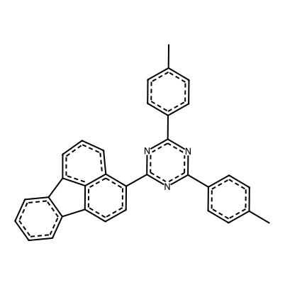 Cc1ccc(-c2nc(-c3ccc(C)cc3)nc(-c3ccc4c5c(cccc35)-c3ccccc3-4)n2)cc1